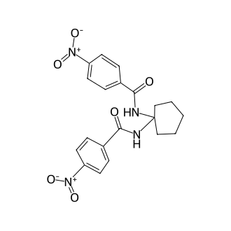 O=C(NC1(NC(=O)c2ccc([N+](=O)[O-])cc2)CCCCC1)c1ccc([N+](=O)[O-])cc1